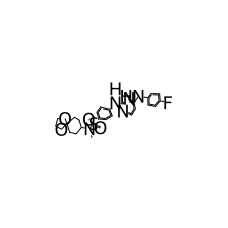 CN(C1CCC2(CC1)OCCO2)S(=O)(=O)c1ccc(Nc2nccc(Nc3ccc(F)cc3)n2)cc1